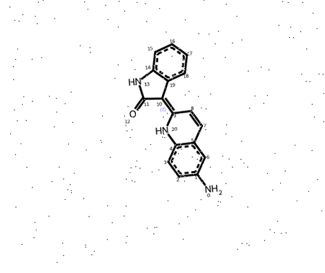 Nc1ccc2c(c1)C=C/C(=C1/C(=O)Nc3ccccc31)N2